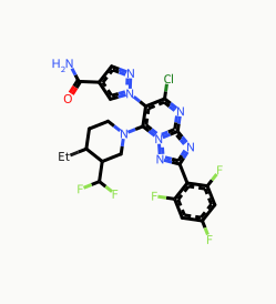 CCC1CCN(c2c(-n3cc(C(N)=O)cn3)c(Cl)nc3nc(-c4c(F)cc(F)cc4F)nn23)CC1C(F)F